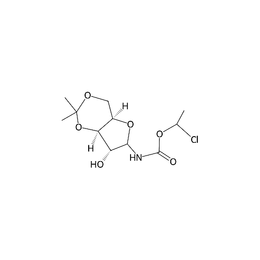 CC(Cl)OC(=O)NC1O[C@@H]2COC(C)(C)O[C@@H]2[C@H]1O